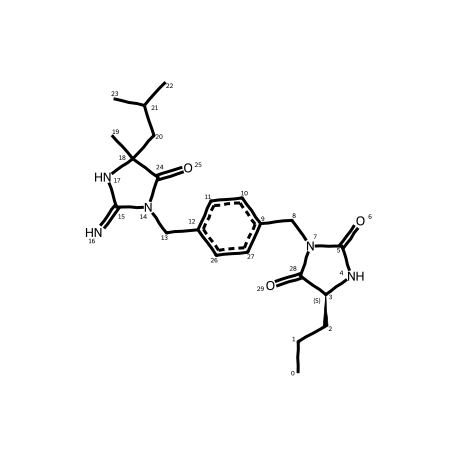 CCC[C@@H]1NC(=O)N(Cc2ccc(CN3C(=N)NC(C)(CC(C)C)C3=O)cc2)C1=O